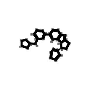 c1ccc([C@H]2CCc3nc4ccc(-c5ccnc(OC6CCCC6)c5)nc4n32)cc1